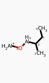 CC[CH](C)[AlH][O][AlH2]